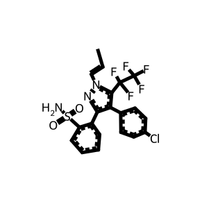 CC=Cn1nc(-c2ccccc2S(N)(=O)=O)c(-c2ccc(Cl)cc2)c1C(F)(F)C(F)(F)F